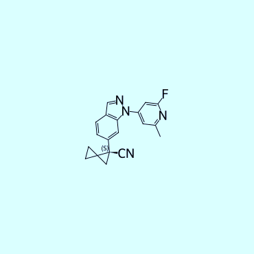 Cc1cc(-n2ncc3ccc([C@]4(C#N)CC45CC5)cc32)cc(F)n1